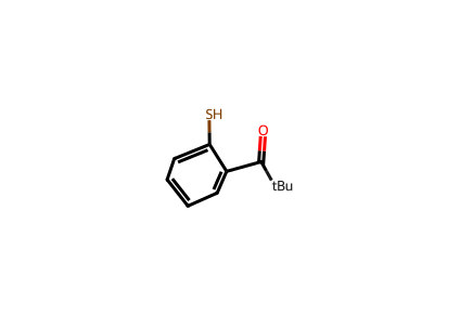 CC(C)(C)C(=O)c1ccccc1S